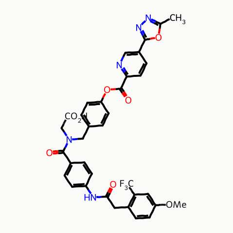 COc1ccc(CC(=O)Nc2ccc(C(=O)N(CC(=O)O)Cc3ccc(OC(=O)c4ccc(-c5nnc(C)o5)cn4)cc3)cc2)c(C(F)(F)F)c1